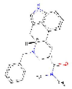 CN(C)C(=O)[C@H]1C=C2c3cccc4[nH]cc(c34)C[C@H]2N(Cc2ccccc2)C1